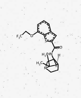 CC1(C)[C@@H](NC(=O)c2cc3cccc(OCC(F)(F)F)c3s2)C2CCN1CC2